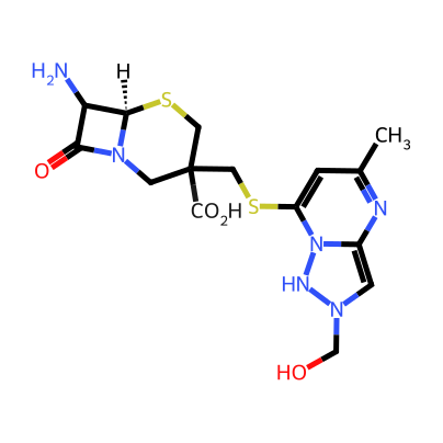 CC1=NC2=CN(CO)NN2C(SCC2(C(=O)O)CS[C@@H]3C(N)C(=O)N3C2)=C1